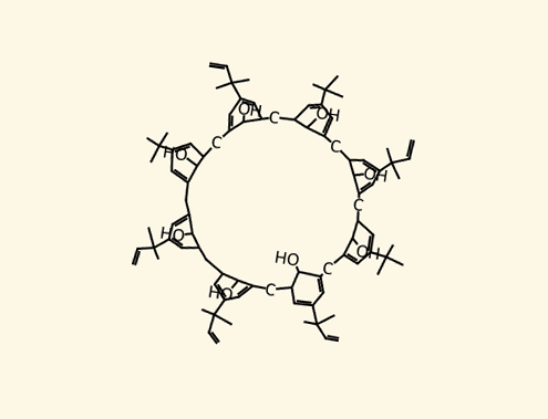 C=CC(C)(C)C1=CC2CC3=CC(C(C)(C)C=C)=CC(CC4C=C(C(C)(C)C=C)C=C(CC5=CC(C(C)(C)C)=CC(CC6=CC(C(C)(C)C=C)=CC(CC7C=C(C(C)(C)C)C=C(CC8C=C(C(C)(C)C=C)C=C(CC9C=C(C(C)(C)C)C=C(CC(=C1)C2O)C9O)C8O)C7O)C6O)C5O)C4O)C3O